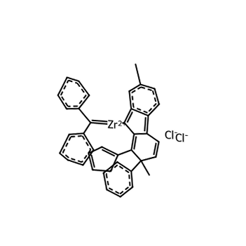 Cc1ccc2c(c1)=[C]([Zr+2]=[C](c1ccccc1)c1ccccc1)C1=C(C3=CC=CC3)C(C)(c3ccccc3)C=CC=21.[Cl-].[Cl-]